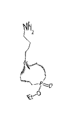 CCOP1(=O)CCN(CCCN)CC1